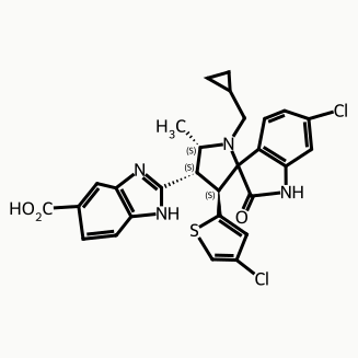 C[C@H]1[C@@H](c2nc3cc(C(=O)O)ccc3[nH]2)[C@H](c2cc(Cl)cs2)C2(C(=O)Nc3cc(Cl)ccc32)N1CC1CC1